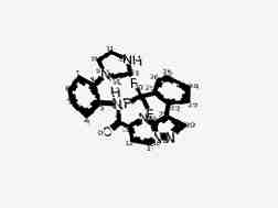 O=C(Nc1ccccc1N1CCNCC1)c1ccn2ncc(-c3ccccc3C(F)(F)F)c2n1